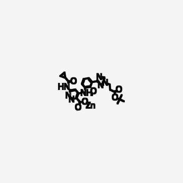 COc1c(Nc2cc(NC(=O)C3CC3)nnc2C(=O)[O][Zn])cccc1-c1ncn(CCC(=O)OC(C)(C)C)n1